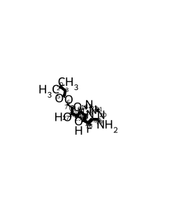 CC(C)CC(=O)OC[C@H]1O[C@@](C#N)(c2cc(F)c3c(N)ncnn23)[C@H](O)[C@@H]1O